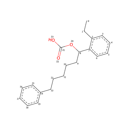 CCc1ccccc1C(CCCCCc1ccccc1)OC(=O)O